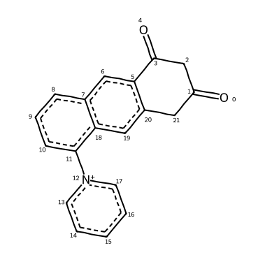 O=C1CC(=O)c2cc3cccc(-[n+]4ccccc4)c3cc2C1